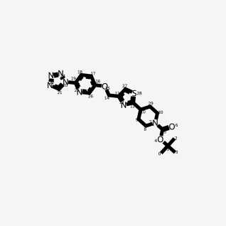 CC(C)(C)OC(=O)N1CCC(c2nc(COc3ccc(-n4cnnn4)nc3)cs2)CC1